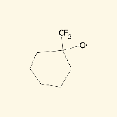 [O]C1(C(F)(F)F)CCCCC1